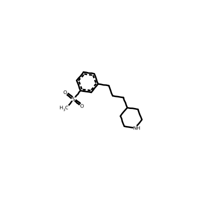 CS(=O)(=O)c1cccc(CCCC2CCNCC2)c1